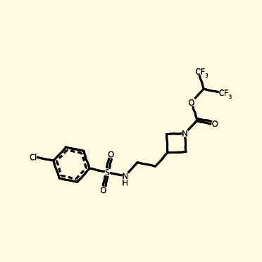 O=C(OC(C(F)(F)F)C(F)(F)F)N1CC(CCNS(=O)(=O)c2ccc(Cl)cc2)C1